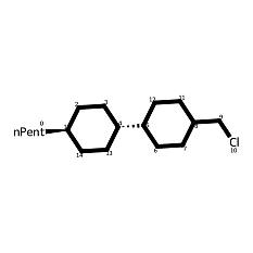 CCCCC[C@H]1CC[C@H](C2CCC(CCl)CC2)CC1